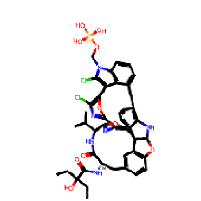 CCC(O)(CC)C(=O)N[C@H]1Cc2ccc3c(c2)C24c5cccc(c5NC2O3)-c2cccc3c2c(c(Cl)n3CO[PH](O)(O)O)-c2oc(nc2Cl)-c2nc(oc24)C(C(C)C)NC1=O